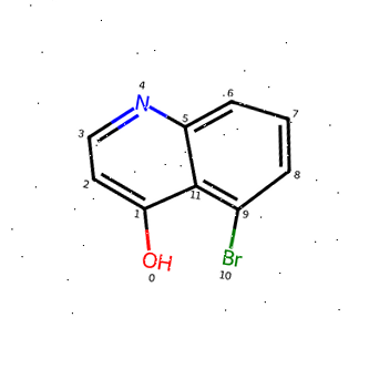 Oc1ccnc2cccc(Br)c12